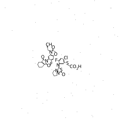 C#CCN1C(=O)COc2cc(F)c(N3C(=O)C4=C(CCCC4)C3=O)cc21.O=C(O)CSc1cc(N=c2sc(=O)n3n2CCCC3)c(F)cc1Cl